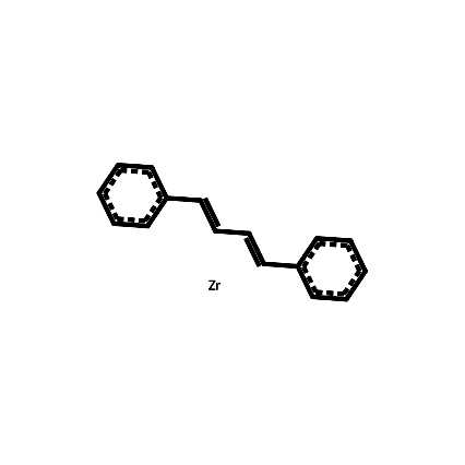 C(C=Cc1ccccc1)=Cc1ccccc1.[Zr]